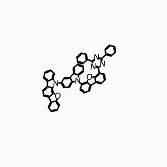 c1ccc(-c2nc(-c3ccccc3)nc(-c3cccc4c3oc3c(-n5c6ccccc6c6cc(-n7c8ccccc8c8ccc9c%10ccccc%10oc9c87)ccc65)cccc34)n2)cc1